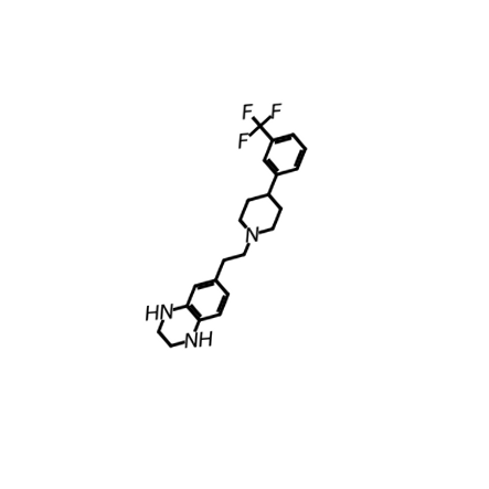 FC(F)(F)c1cccc(C2CCN(CCc3ccc4c(c3)NCCN4)CC2)c1